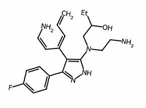 C=C/C=C(\C=C/N)c1c(-c2ccc(F)cc2)n[nH]c1N(CCN)CC(O)CC